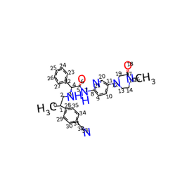 CC(CN[C@H](C(=O)Nc1ccc(N2CCN(C)C(=O)C2)cn1)c1ccccc1)c1ccc(C#N)cc1